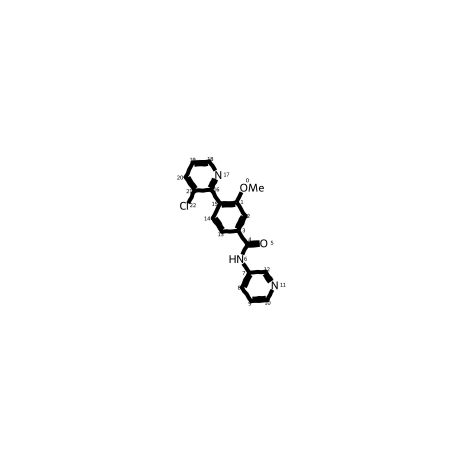 COc1cc(C(=O)Nc2cccnc2)ccc1-c1ncccc1Cl